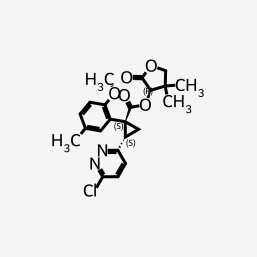 COc1ccc(C)cc1[C@]1(C(=O)O[C@H]2C(=O)OCC2(C)C)C[C@@H]1c1ccc(Cl)nn1